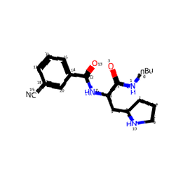 CCCCNC(=O)C(CC1CCCN1)NC(=O)c1cccc(C#N)c1